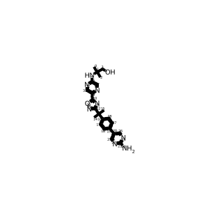 CC(C)(CO)Nc1cnc(-c2nc(C(C)(C)c3ccc(-c4cnc(N)nc4)cc3)no2)cn1